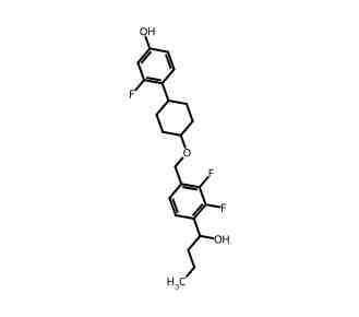 CCCC(O)c1ccc(COC2CCC(c3ccc(O)cc3F)CC2)c(F)c1F